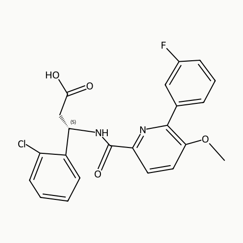 COc1ccc(C(=O)N[C@@H](CC(=O)O)c2ccccc2Cl)nc1-c1cccc(F)c1